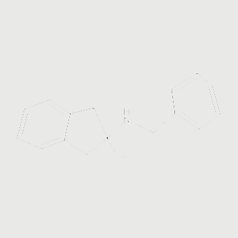 CC1(NCc2ccccc2)Cc2ccccc2C1